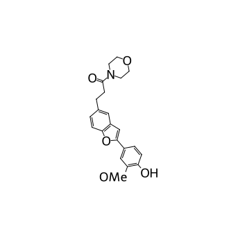 COc1cc(-c2cc3cc(CCC(=O)N4CCOCC4)ccc3o2)ccc1O